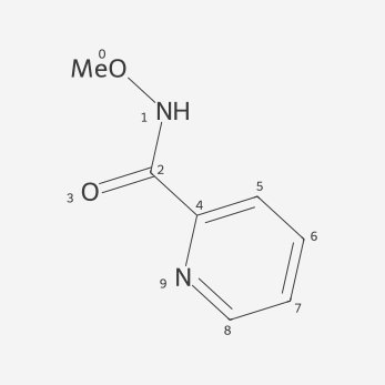 CONC(=O)c1ccccn1